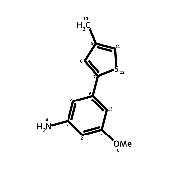 COc1cc(N)cc(-c2cc(C)cs2)c1